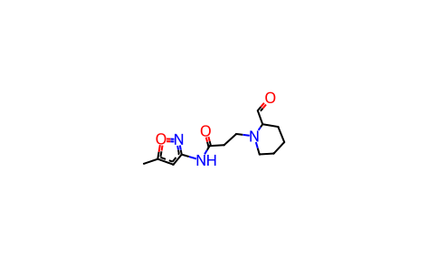 Cc1cc(NC(=O)CCN2CCCCC2C=O)no1